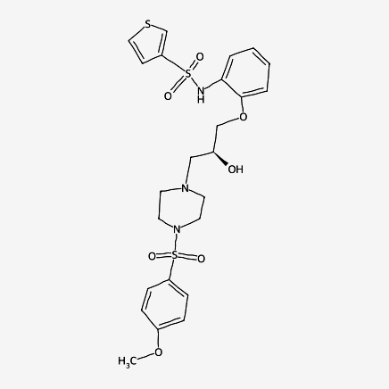 COc1ccc(S(=O)(=O)N2CCN(C[C@H](O)COc3ccccc3NS(=O)(=O)c3ccsc3)CC2)cc1